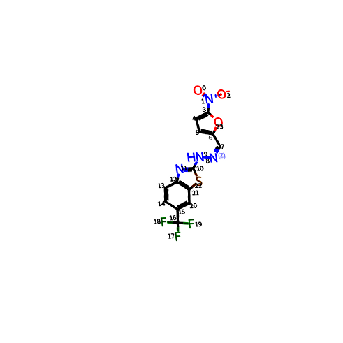 O=[N+]([O-])c1ccc(/C=N\Nc2nc3ccc(C(F)(F)F)cc3s2)o1